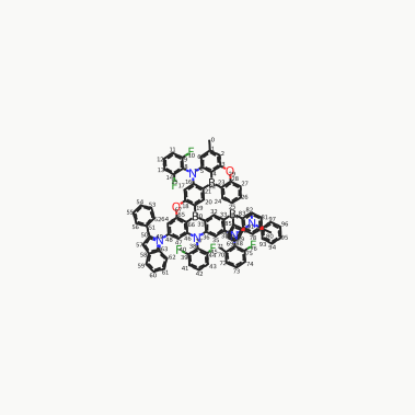 Cc1cc2c3c(c1)N(c1c(F)cccc1F)c1cc4c(cc1B3c1ccccc1O2)B1c2cc3c(cc2N(c2c(F)cccc2F)c2cc(-n5c(-c6ccccc6)cc6ccccc65)cc(c21)O4)N(c1c(C)cccc1F)c1cc(C)cc2c1B3c1ccccc1N2c1ccccc1